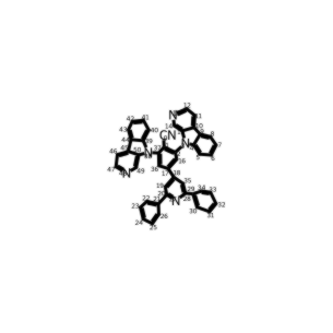 N#Cc1c(-n2c3ccccc3c3ccncc32)cc(-c2cc(-c3ccccc3)nc(-c3ccccc3)c2)cc1-n1c2ccccc2c2ccncc21